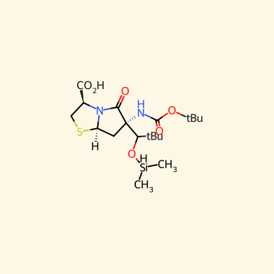 C[SiH](C)OC(C(C)(C)C)[C@@]1(NC(=O)OC(C)(C)C)C[C@H]2SC[C@@H](C(=O)O)N2C1=O